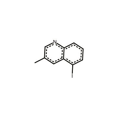 Cc1cnc2cccc(I)c2c1